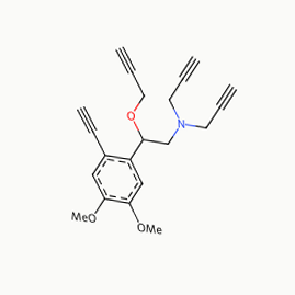 C#CCOC(CN(CC#C)CC#C)c1cc(OC)c(OC)cc1C#C